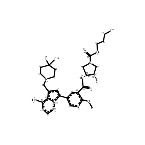 COc1ncc(-c2cc(CN3CCC(F)(F)CC3)c3c(N)ncnn23)cc1C(=O)N[C@@H]1CN(C(=O)OCCCF)C[C@@H]1F